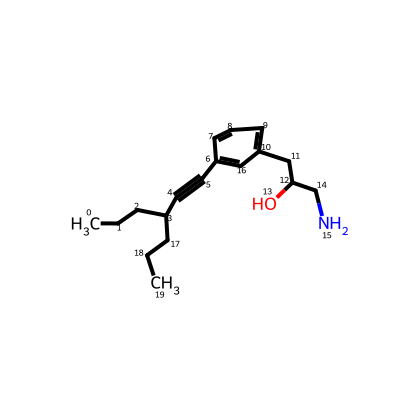 CCCC(C#Cc1cccc(CC(O)CN)c1)CCC